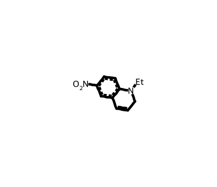 CCN1CC=Cc2cc([N+](=O)[O-])ccc21